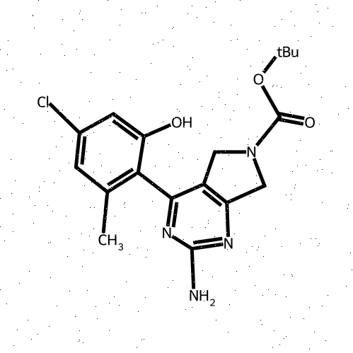 Cc1cc(Cl)cc(O)c1-c1nc(N)nc2c1CN(C(=O)OC(C)(C)C)C2